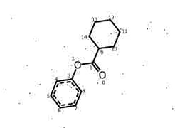 O=C(Oc1c[c]ccc1)C1CCCCC1